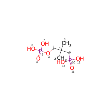 CC(C)([CH]OP(=O)(O)O)CP(=O)(O)O